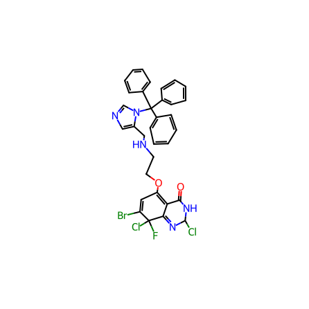 O=C1NC(Cl)N=C2C1=C(OCCNCc1cncn1C(c1ccccc1)(c1ccccc1)c1ccccc1)C=C(Br)C2(F)Cl